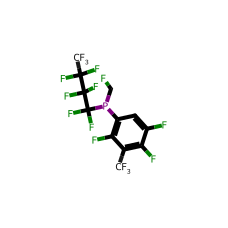 FCP(c1cc(F)c(F)c(C(F)(F)F)c1F)C(F)(F)C(F)(F)C(F)(F)C(F)(F)F